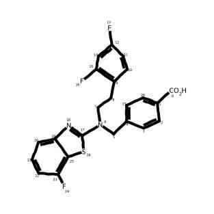 O=C(O)c1ccc(CN(CCc2ccc(F)cc2F)c2nc3cccc(F)c3s2)cc1